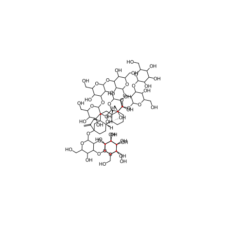 C=C1C[C@@]23CC[C@H]4[C@@](C)(CCC[C@@]4(C)C(=O)OC4OC(CO)C(O)C(OC5OC(CO)C(O)C(O)C5O)C4OC4OC(CO)C(O)C(OC5OC(CO)C(O)C(OC6OC(CO)C(O)C(O)C6O)C5OC5OC(CO)C(O)C(O)C5O)C4O)[C@@H]2CCC1(OC1OC(CO)C(O)C(OC2OC(CO)C(O)C(O)C2O)C1OC1OC(CO)C(O)C(O)C1O)C3